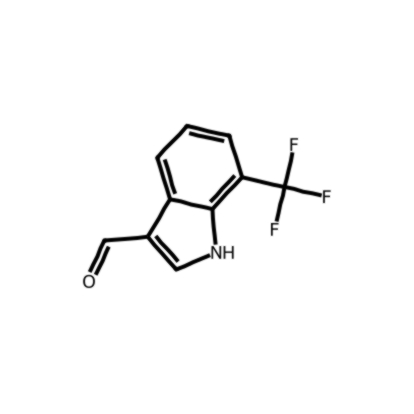 O=Cc1c[nH]c2c(C(F)(F)F)cccc12